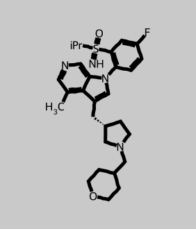 Cc1cncc2c1c(C[C@@H]1CCN(CC3CCOCC3)C1)cn2-c1ccc(F)cc1S(=N)(=O)C(C)C